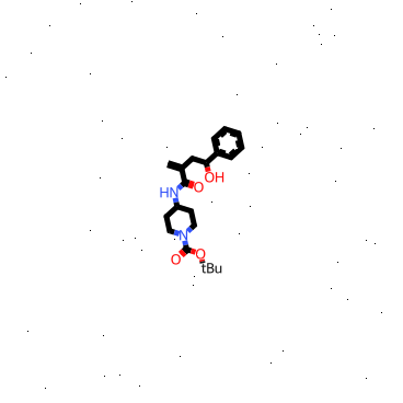 C=C(CC(O)c1ccccc1)C(=O)NC1CCN(C(=O)OC(C)(C)C)CC1